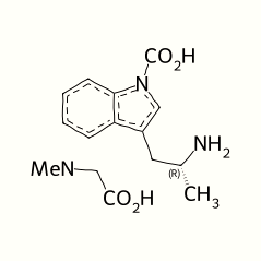 CNCC(=O)O.C[C@@H](N)Cc1cn(C(=O)O)c2ccccc12